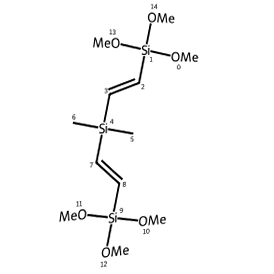 CO[Si](C=C[Si](C)(C)C=C[Si](OC)(OC)OC)(OC)OC